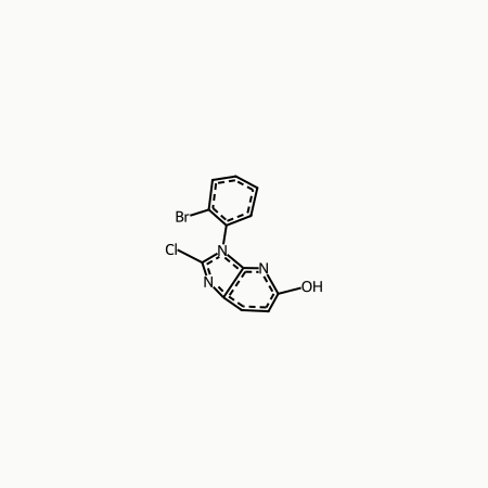 Oc1ccc2nc(Cl)n(-c3ccccc3Br)c2n1